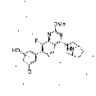 COc1nc(N2CC3CCC(C2)N3)c2cnc(-c3cc(O)cc(Cl)c3)c(F)c2n1